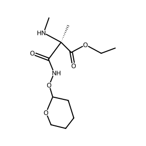 CCOC(=O)[C@](C)(NC)C(=O)NOC1CCCCO1